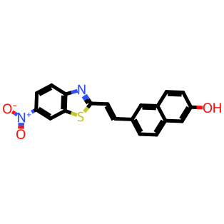 O=[N+]([O-])c1ccc2nc(C=Cc3ccc4cc(O)ccc4c3)sc2c1